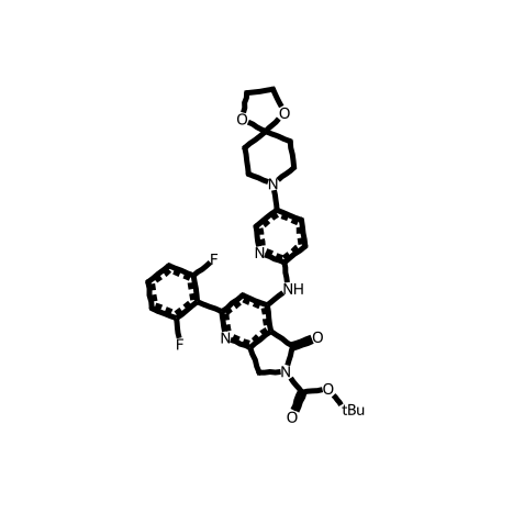 CC(C)(C)OC(=O)N1Cc2nc(-c3c(F)cccc3F)cc(Nc3ccc(N4CCC5(CC4)OCCO5)cn3)c2C1=O